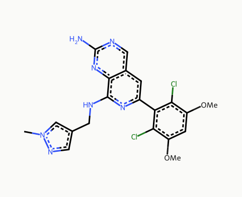 COc1cc(OC)c(Cl)c(-c2cc3cnc(N)nc3c(NCc3cnn(C)c3)n2)c1Cl